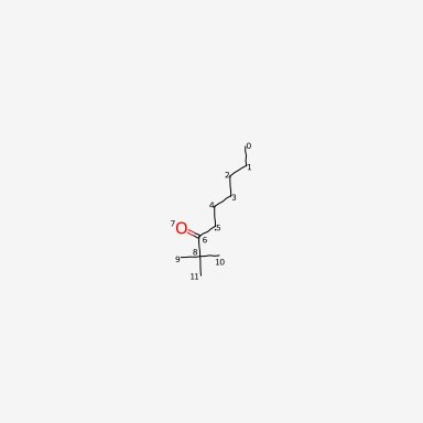 CCCCC[CH]C(=O)C(C)(C)C